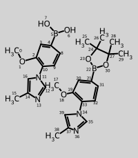 COc1cc(B(O)O)ccc1-n1cnc(C)c1.COc1cc(B2OC(C)(C)C(C)(C)O2)ccc1-n1cnc(C)c1